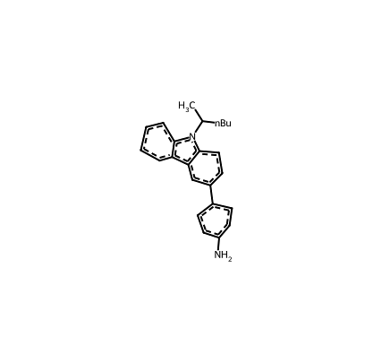 CCCCC(C)n1c2ccccc2c2cc(-c3ccc(N)cc3)ccc21